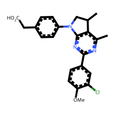 COc1ccc(-c2nc(C)c3c(n2)N(c2ccc(CC(=O)O)cc2)CC3C)cc1Cl